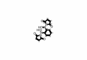 O=C1C=CC(=O)N1N(O)c1[c]cccc1N(O)N1C(=O)C=CC1=O